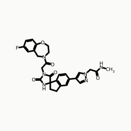 CNC(=O)Cn1cc(-c2ccc3c(c2)CCC32NC(=O)N(CC(=O)N3CCOc4ccc(F)cc4C3)C2=O)cn1